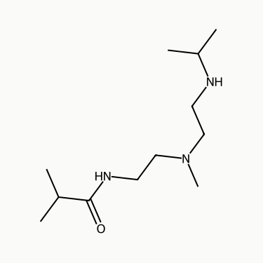 CC(C)NCCN(C)CCNC(=O)C(C)C